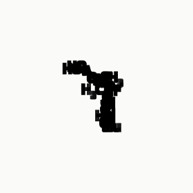 Cc1cc(OC[C@H]2C[C@](O)(CO)C2)cc(C)c1-c1cc(COc2cc3c(cn2)[C@H]2[C@H](C3)[C@@H]2C(=O)OC(C)(C)C)c(F)cc1F